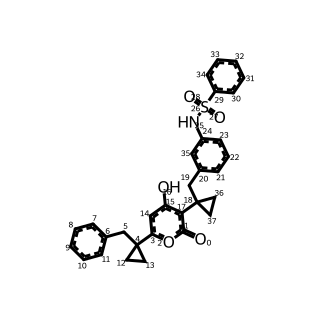 O=c1oc(C2(Cc3ccccc3)CC2)cc(O)c1C1(Cc2cccc(NS(=O)(=O)c3ccccc3)c2)CC1